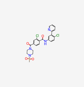 CS(=O)(=O)N1CCN(C(=O)c2ccc(C(=O)Nc3ccc(Cl)c(-c4ccccn4)c3)c(Cl)c2)CC1